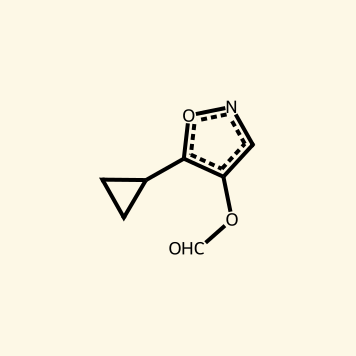 O=COc1cnoc1C1CC1